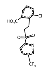 O=C(O)c1cccc(Cl)c1CCS(=O)(=O)c1ccc(C(F)(F)F)cn1